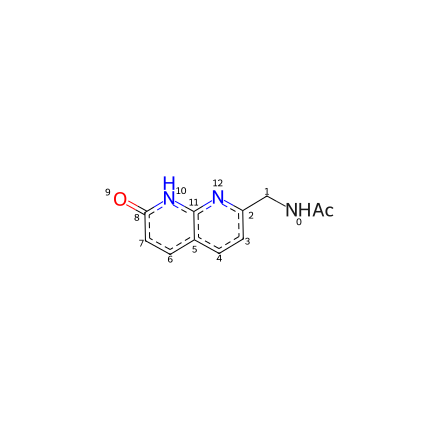 CC(=O)NCc1ccc2ccc(=O)[nH]c2n1